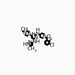 CCN1CCN(c2cc(Nc3cc(C)[nH]n3)nc(NC3CCN(C(=O)c4cccc(Cl)c4F)CC3)n2)CC1